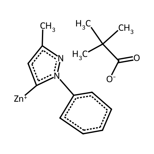 CC(C)(C)C(=O)[O-].Cc1c[c]([Zn+])n(-c2ccccc2)n1